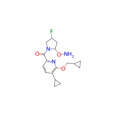 NOC1CC(F)CN1C(=O)c1ccc(C2CC2)c(OCC2CC2)n1